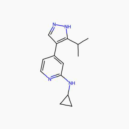 CC(C)c1[nH]ncc1-c1ccnc(NC2CC2)c1